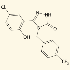 O=c1[nH]nc(-c2cc(Cl)ccc2O)n1Cc1ccc(C(F)(F)F)cc1